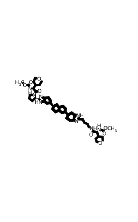 COC(=O)N[C@H](C(=O)NCCCCc1nc2ccc(-c3ccc4cc(-c5ccc6nc([C@@H]7CCCN7C(=O)[C@@H](NC(=O)OC)C7CCOCC7)[nH]c6c5)ccc4c3)cc2[nH]1)C1CCOCC1